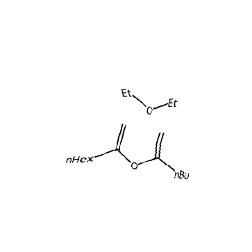 C=C(CCCC)OC(=C)CCCCCC.CCOCC